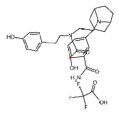 NC(=O)c1cccc(C2CC3CCC(C2)N3CCN(CCc2ccc(O)cc2)C(=O)CO)c1.O=C(O)C(F)(F)F